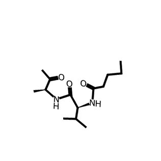 CCCCC(=O)N[C@H](C(=O)N[C@@H](C)C(C)=O)C(C)C